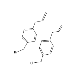 C=CCc1ccc(CBr)cc1.C=CCc1ccc(CCl)cc1